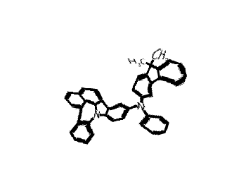 CC1(C)c2ccccc2-c2cc(N(c3ccccc3)c3ccc4c(c3)c3ccc5cccc6c7ccccc7n4c3c56)ccc21